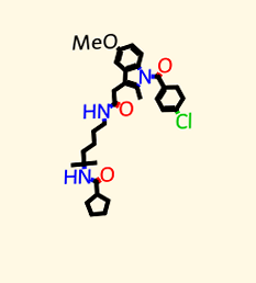 COc1ccc2c(c1)c(CC(=O)NCCCCC(C)(C)NC(=O)C1CCCC1)c(C)n2C(=O)C1=CC=C(Cl)CC1